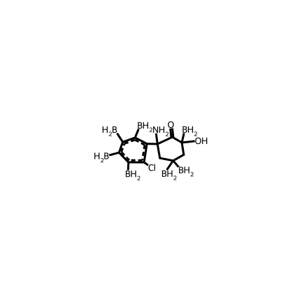 Bc1c(B)c(B)c(C2(N)CC(B)(B)CC(B)(O)C2=O)c(Cl)c1B